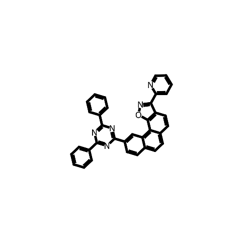 c1ccc(-c2nc(-c3ccccc3)nc(-c3ccc4ccc5ccc6c(-c7ccccn7)noc6c5c4c3)n2)cc1